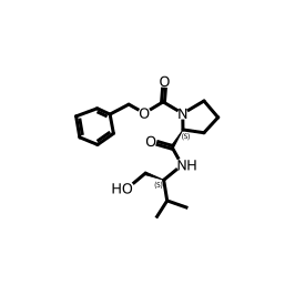 CC(C)[C@@H](CO)NC(=O)[C@@H]1CCCN1C(=O)OCc1ccccc1